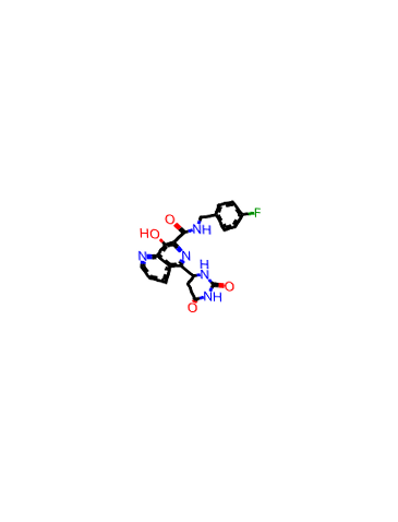 O=C1CC(c2nc(C(=O)NCc3ccc(F)cc3)c(O)c3ncccc23)NC(=O)N1